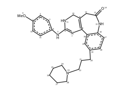 COc1ccc(NC2=NC3=C(CN2)CC(=O)Nc2ccc(CCCN4CCCCC4)cc23)cc1